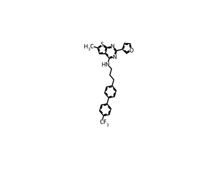 Cc1cc2c(NCCCc3ccc(-c4ccc(C(F)(F)F)cc4)cc3)nc(-c3ccoc3)nc2s1